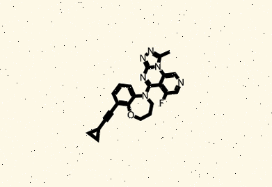 Cc1nnc2nc(N3CCCOc4c(C#CC5CC5)cccc43)c3c(F)cncc3n12